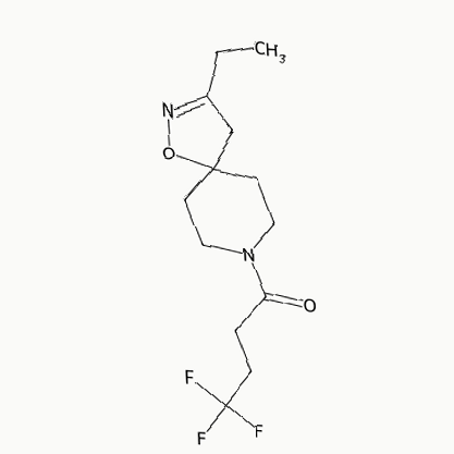 CCC1=NOC2(CCN(C(=O)CCC(F)(F)F)CC2)C1